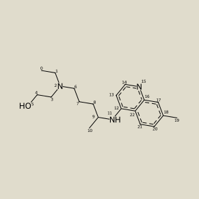 CCN(CCO)CCCC(C)Nc1ccnc2cc(C)ccc12